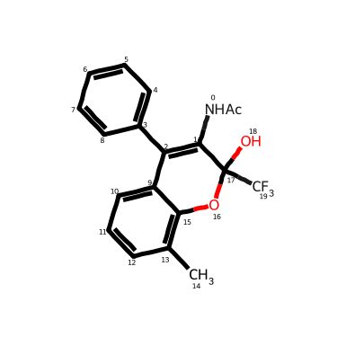 CC(=O)NC1=C(c2ccccc2)c2cccc(C)c2OC1(O)C(F)(F)F